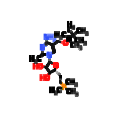 C=C1N=C(N)C(CO[Si](C)(C)C(C)(C)C)=CN1C1O[C@H](CCP(=C)(C)C)[C@@H](O)[C@H]1O